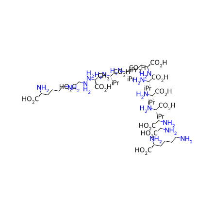 CC(C)C[C@H](N)C(=O)O.CC(C)[C@H](N)C(=O)O.CC(C)[C@H](N)C(=O)O.CC(C)[C@H](N)C(=O)O.CC(C)[C@H](N)C(=O)O.CC(C)[C@H](N)C(=O)O.C[C@H](N)C(=O)O.NCC(=O)O.NCC(=O)O.NCC(=O)O.NCCCC[C@H](N)C(=O)O.NCCCC[C@H](N)C(=O)O